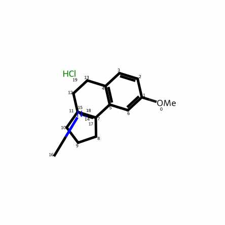 COc1ccc2c(c1)C13CCCC1(CC2)CN(C)CC3.Cl